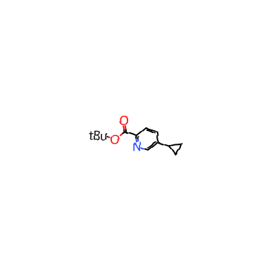 CC(C)(C)OC(=O)c1ccc(C2CC2)cn1